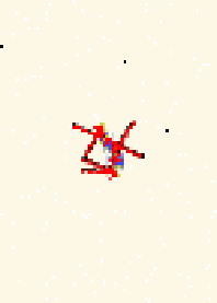 CCCCCCCCCCCCC1(CCCCCCCCCCCC)Oc2cc(-c3cnc(-c4cc5c(s4)-c4sccc4OC5(CCCCCCCCCCCC)CCCCCCCCCCCC)c4nsnc34)sc2-c2sc(-c3cnc(-c4cc5c(s4)-c4sccc4OC5(CCCCCCCCCCCC)CCCCCCCCCCCC)c4nsnc34)cc21